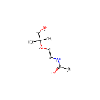 CCCCC(=O)NCCOC(C)(C)CO